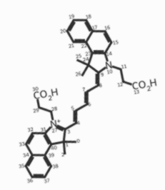 CC1(C)C(/C=C/C=C/C=C2/N(CCC(=O)O)c3ccc4ccccc4c3C2(C)C)=[N+](CCC(=O)O)c2ccc3ccccc3c21